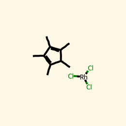 C[C]1C(C)=C(C)C(C)=C1C.[Cl][Rh]([Cl])[Cl]